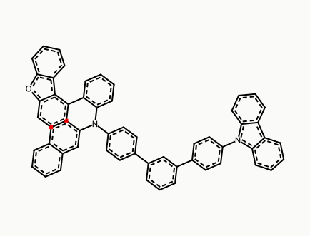 c1cc(-c2ccc(N(c3ccc4ccccc4c3)c3ccccc3-c3cccc4oc5ccccc5c34)cc2)cc(-c2ccc(-n3c4ccccc4c4ccccc43)cc2)c1